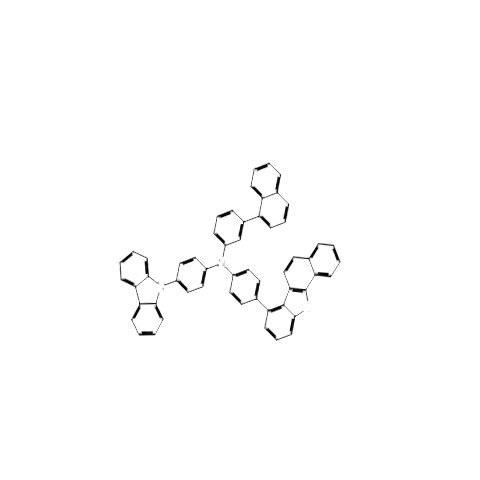 c1cc(-c2cccc3ccccc23)cc(N(c2ccc(-c3cccc4oc5c6ccccc6ccc5c34)cc2)c2ccc(-n3c4ccccc4c4ccccc43)cc2)c1